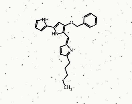 CCCCCC1=N/C(=C/c2[nH]c(-c3ccc[nH]3)cc2OCc2ccccc2)C=C1